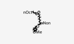 CCCCCCCCC=CCOC(=O)CCCCCCC(CCCCCCCCC)CCOCc1ccc(OC)cc1